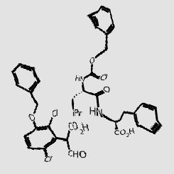 CC(C)C[C@H](NC(=O)OCc1ccccc1)C(=O)N[C@@H](Cc1ccccc1)C(=O)O.O=CC(C(=O)O)c1c(Cl)ccc(OCc2ccccc2)c1Cl